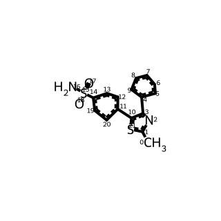 Cc1nc(-c2ccccc2)c(-c2ccc(S(N)(=O)=O)cc2)s1